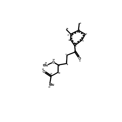 Cc1ccc(C(=O)CCC(CC(=O)C(C)(C)C)OC(C)(C)C)cc1C